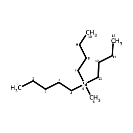 CCCCC[Si](C)(CCCC)CCCC